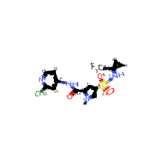 Cn1cc(S(=O)(=O)NC2(C(F)(F)F)CC2)cc1C(=O)Nc1ccnc(Cl)c1